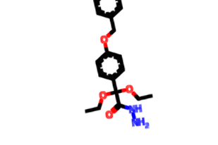 CCOC(OCC)(C(=O)NN)c1ccc(OCc2ccccc2)cc1